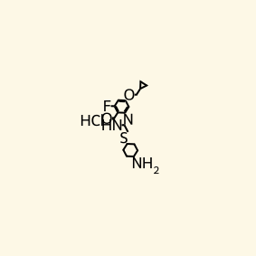 Cl.N[C@H]1CC[C@H](SCc2nc3cc(OCC4CC4)cc(F)c3c(=O)[nH]2)CC1